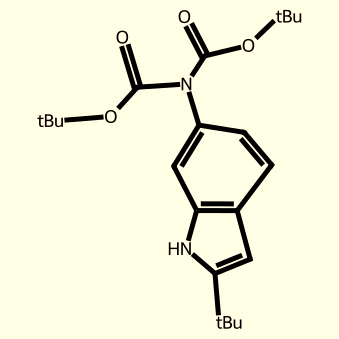 CC(C)(C)OC(=O)N(C(=O)OC(C)(C)C)c1ccc2cc(C(C)(C)C)[nH]c2c1